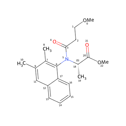 COCCC(=O)N(c1c(C)c(C)cc2ccccc12)[C@@H](C)C(=O)OC